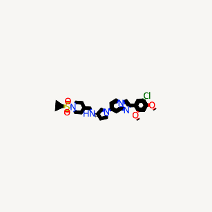 COc1cc(OC)c(-c2cn3ccc(N4CC[C@H](NCC5CCN(S(=O)(=O)C6CC6)CC5)C4)cc3n2)cc1Cl